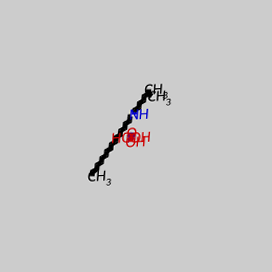 CCCCCCCCCCCCCCCCCCNCCCCCC(C)C.O=P(O)(O)O